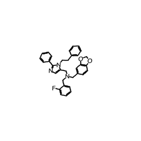 Fc1ccccc1CN(Cc1ccc2c(c1)OCO2)Cc1cnc(-c2ccccc2)n1CCc1ccccc1